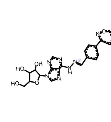 OCC1OC(n2cnc3c(N/N=C/c4ccc(-c5ccccn5)cc4)ncnc32)C(O)C1O